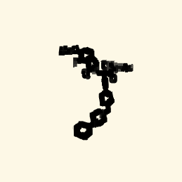 COc1ccc2c(c1F)C(=O)N(C[C@](C)(C#Cc1ccc(CN3CCN(C4CCCCC4)CC3)cc1)C(=O)NC(C)=O)C2